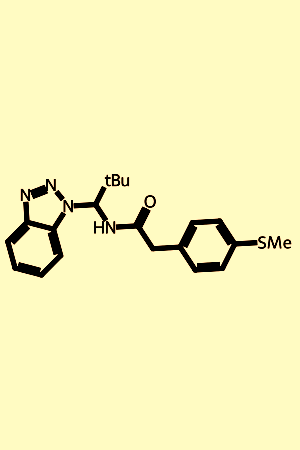 CSc1ccc(CC(=O)NC(n2nnc3ccccc32)C(C)(C)C)cc1